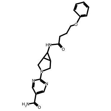 NC(=O)c1cnc(N2CC3C(C2)C3NC(=O)CCCOc2ccccc2)nc1